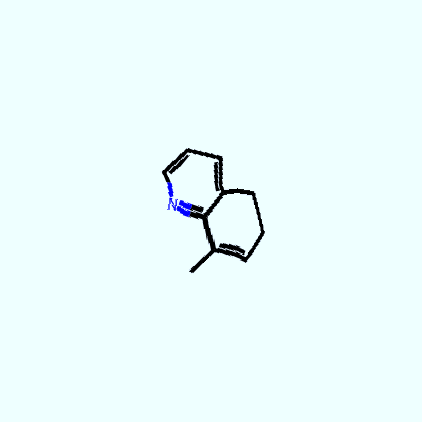 CC1=CCCc2cccnc21